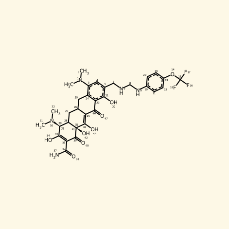 CN(C)c1cc(CNCNc2ccc(OC(F)(F)F)cc2)c(O)c2c1CC1CC3[C@H](N(C)C)C(O)=C(C(N)=O)C(=O)[C@@]3(O)C(O)=C1C2=O